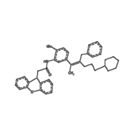 CC(=C(CCCC1CCCCC1)Cc1ccccc1)c1ccc(C(C)(C)C)c(NC(=O)CC2c3ccccc3Oc3ccccc32)c1